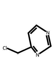 Cl[CH]c1ccncn1